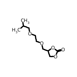 CC(C)COCCOCC1COC(=O)O1